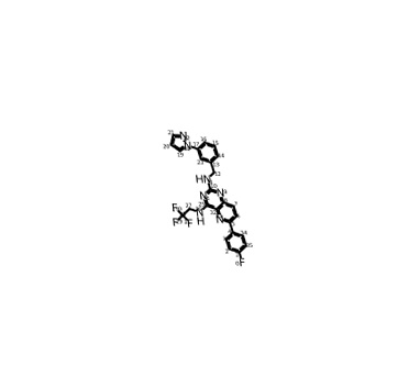 Fc1ccc(-c2ccc3nc(NCc4cccc(-n5cccn5)c4)nc(NCC(F)(F)F)c3n2)cc1